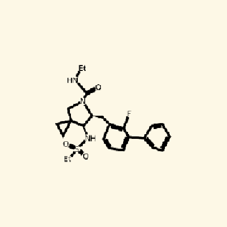 CCNC(=O)N1CC2(CC2)[C@H](NS(=O)(=O)CC)[C@@H]1Cc1cccc(-c2ccccc2)c1F